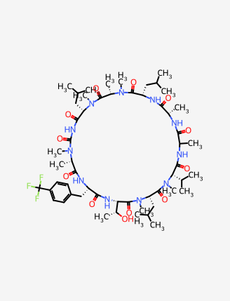 CC(C)C[C@@H]1NC(=O)[C@H](C)NC(=O)C(C)NC(=O)[C@H](C(C)C)N(C)C(=O)[C@H](CC(C)C)N(C)C(=O)[C@H]([C@@H](C)O)NC(=O)[C@H](Cc2ccc(C(F)(F)F)cc2)NC(=O)[C@H](C)N(C)C(=O)NC(=O)[C@H](CC(C)C)N(C)C(=O)[C@H](C)N(C)C1=O